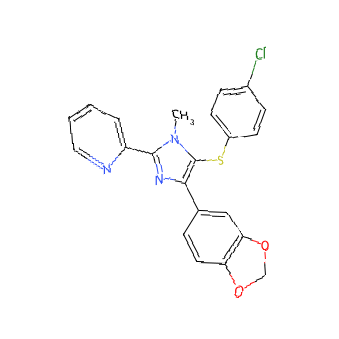 Cn1c(-c2ccccn2)nc(-c2ccc3c(c2)OCO3)c1Sc1ccc(Cl)cc1